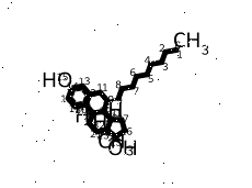 CCCCCCCCCC[C@@H]1Cc2cc(O)ccc2[C@H]2CC[C@]3(C)[C@@H](O)CC[C@H]3[C@H]12